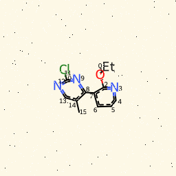 CCOc1ncccc1-c1nc(Cl)ncc1C